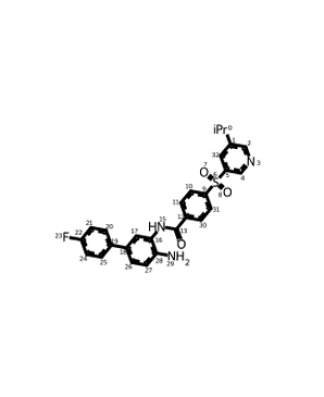 CC(C)c1cncc(S(=O)(=O)c2ccc(C(=O)Nc3cc(-c4ccc(F)cc4)ccc3N)cc2)c1